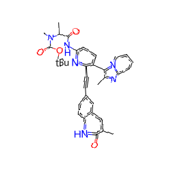 Cc1nc2ccccn2c1-c1ccc(NC(=O)C(C)N(C)C(=O)OC(C)(C)C)nc1C#Cc1ccc2[nH]c(=O)c(C)cc2c1